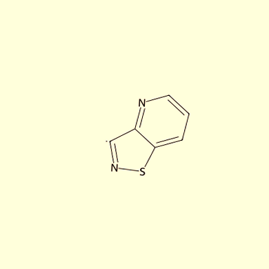 [c]1nsc2cccnc12